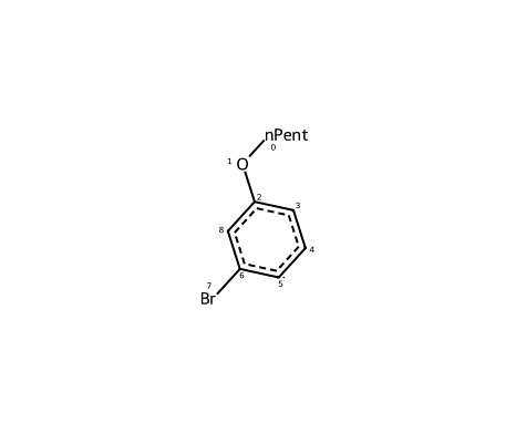 CCCCCOc1cc[c]c(Br)c1